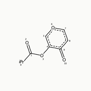 CC(C)C(=O)Oc1coccc1=O